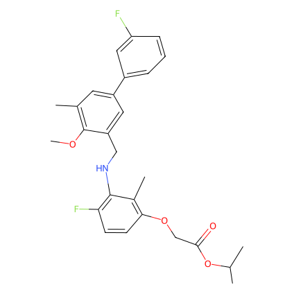 COc1c(C)cc(-c2cccc(F)c2)cc1CNc1c(F)ccc(OCC(=O)OC(C)C)c1C